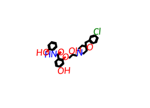 O=C(Nc1ccccc1O)c1ccc(O)cc1OC[C@@H](O)CN1CCC2(CC1)Cc1cc(Cl)ccc1O2